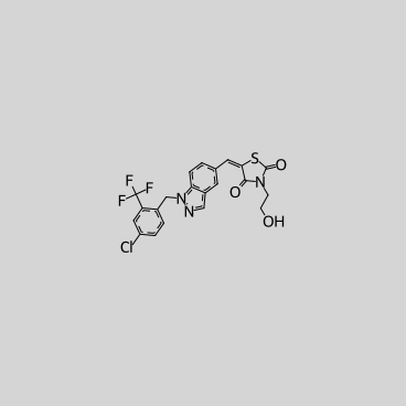 O=C1SC(=Cc2ccc3c(cnn3Cc3ccc(Cl)cc3C(F)(F)F)c2)C(=O)N1CCO